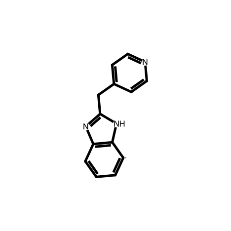 [c]1cccc2nc(Cc3ccncc3)[nH]c12